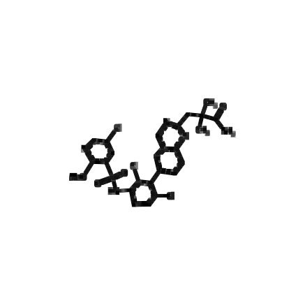 COc1ncc(Cl)cc1S(=O)(=O)Nc1ccc(Cl)c(-c2ccc3nc(CC(C)(C)C(N)=O)ncc3c2)c1Cl